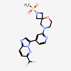 CS(=O)(=O)N1CC2(CN(c3cc(-c4cnc5ccc(C(F)F)nn45)ccn3)CCO2)C1